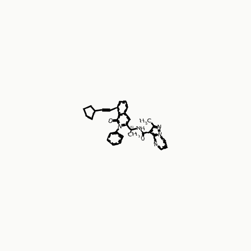 Cc1nn2cccnc2c1C(=O)N[C@@H](C)c1cc2cccc(C#CC3CCCC3)c2c(=O)n1-c1ccccc1